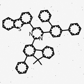 CC1(C)c2ccccc2-c2c(-c3nc(-c4ccc(-c5ccccc5)cc4-c4ccccc4)cc(-c4cccc5c4sc4ccccc45)n3)ccc(-c3ccccc3)c21